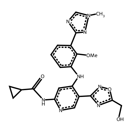 COc1c(Nc2cc(NC(=O)C3CC3)ncc2-c2noc(CO)n2)cccc1-c1ncn(C)n1